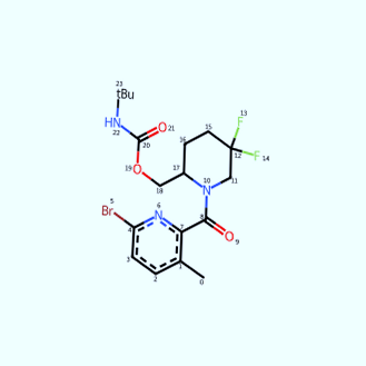 Cc1ccc(Br)nc1C(=O)N1CC(F)(F)CCC1COC(=O)NC(C)(C)C